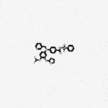 O=C(NS(=O)(=O)c1ccccc1)c1ccc(N(Cc2cccnc2)c2ccc(OC(F)F)c(OC3CCCO3)c2)cc1